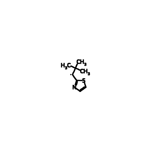 CC(C)(C)[CH]c1nccs1